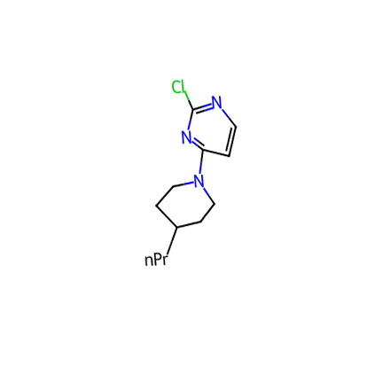 CCCC1CCN(c2ccnc(Cl)n2)CC1